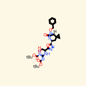 CC(C)(C)OC(=O)/N=C(\NC(=O)OC(C)(C)C)NC(CO)c1nnc([C@@H]2CC3(CC3)[C@H]3CN2C(=O)N3OCc2ccccc2)o1